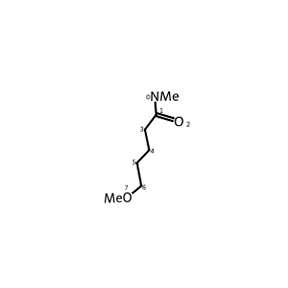 CNC(=O)CCCCOC